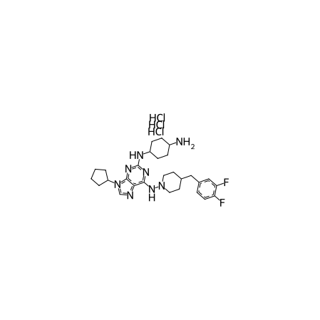 Cl.Cl.Cl.NC1CCC(Nc2nc(NN3CCC(Cc4ccc(F)c(F)c4)CC3)c3ncn(C4CCCC4)c3n2)CC1